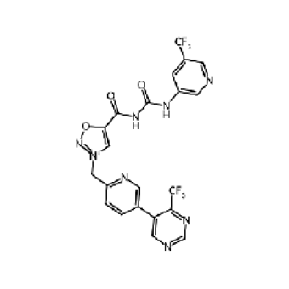 O=C(NC(=O)c1c[n+](Cc2ccc(-c3cncnc3C(F)(F)F)cn2)no1)Nc1cncc(C(F)(F)F)c1